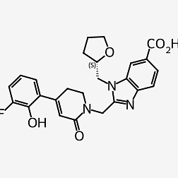 O=C(O)c1ccc2nc(CN3CCC(c4cccc(F)c4O)=CC3=O)n(C[C@@H]3CCCO3)c2c1